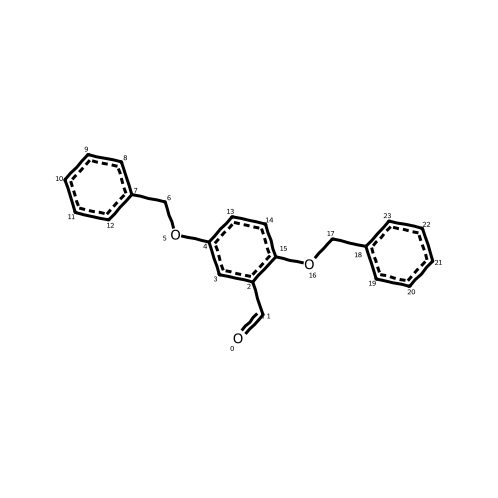 O=[C]c1cc(OCc2ccccc2)ccc1OCc1ccccc1